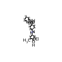 Cc1cc(/N=N/c2ccc(S(=O)(=O)Nc3ccccn3)cc2)cc(Cl)c1O